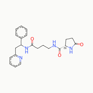 O=C(CCCNC(=O)[C@@H]1CCC(=O)N1)NC(Cc1ccccn1)c1ccccc1